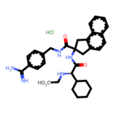 Cl.N=C(N)c1ccc(CNC(=O)C2(NC(=O)[C@H](NCC(=O)O)C3CCCCC3)Cc3ccc4ccccc4c3C2)cc1